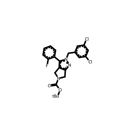 CC(C)(C)OC(=O)N1Cc2nn(Cc3cc(Cl)cc(Cl)c3)c(-c3ccccc3F)c2C1